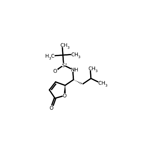 CC(C)C[C@@H](N[S+]([O-])C(C)(C)C)[C@@H]1C=CC(=O)O1